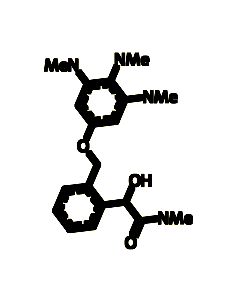 CNC(=O)C(O)c1ccccc1COc1cc(NC)c(NC)c(NC)c1